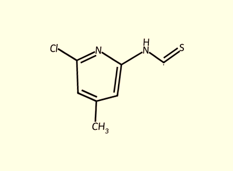 Cc1cc(Cl)nc(N[C]=S)c1